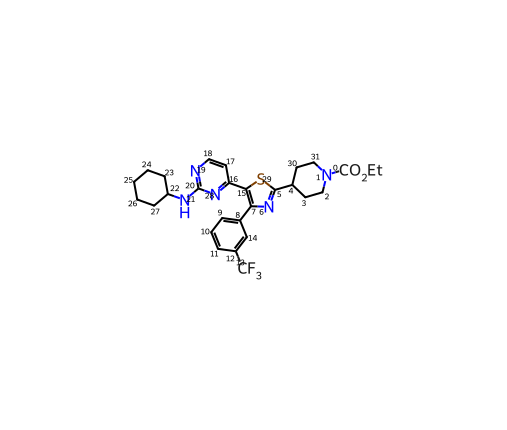 CCOC(=O)N1CCC(c2nc(-c3cccc(C(F)(F)F)c3)c(-c3ccnc(NC4CCCCC4)n3)s2)CC1